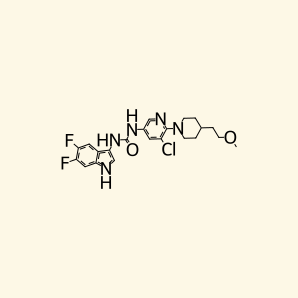 COCCC1CCN(c2ncc(NC(=O)Nc3c[nH]c4cc(F)c(F)cc34)cc2Cl)CC1